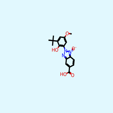 COc1cc(-n2nc3cc(C(=O)O)ccc3[n+]2[O-])c(O)c(C(C)(C)C)c1